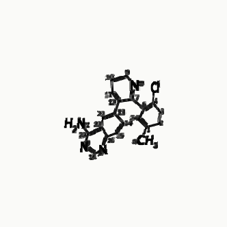 Cc1ccc(Cl)c(-c2ncccc2-c2ccc3ncnc(N)c3c2)c1